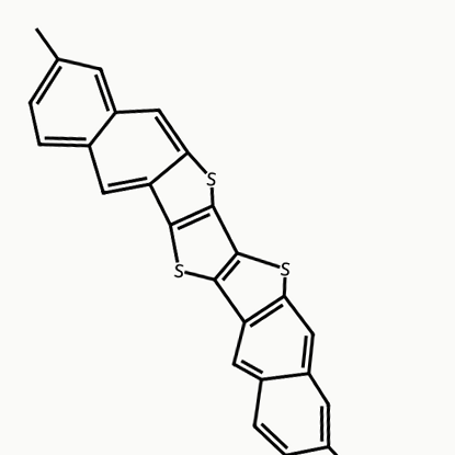 Cc1ccc2cc3c(cc2c1)sc1c3sc2c3cc4ccc(C)cc4cc3sc21